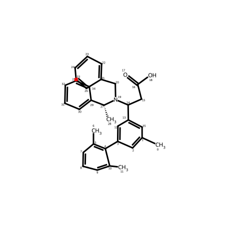 Cc1cc(-c2c(C)cccc2C)cc(C(CC(=O)O)N(Cc2ccccc2)[C@H](C)c2ccccc2)c1